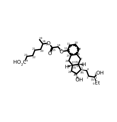 CC[C@H](O)CC[C@@H]1[C@H]2Cc3cccc(OCC(=O)OC(C)CCCCC(=O)O)c3C[C@H]2C[C@H]1O